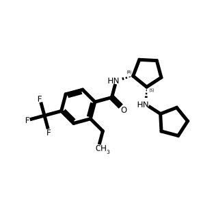 CCc1cc(C(F)(F)F)ccc1C(=O)N[C@@H]1CCC[C@@H]1NC1CCCC1